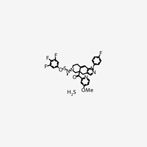 COc1ccnc(C(=O)C23Cc4cnn(-c5ccc(F)cc5)c4C=C2CCN(N(C)SOc2cc(F)c(F)c(F)c2)C3)c1.S